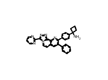 NC1(c2ccc(-c3nc4c(ccn5c(-c6ncccn6)nnc45)cc3-c3ccccc3)cc2)CCC1